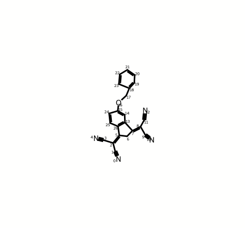 N#CC(C#N)=C1CC(=C(C#N)C#N)c2cc(OCc3ccccc3)ccc21